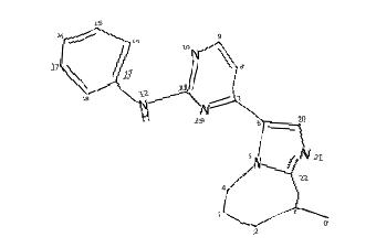 CC1CCCn2c(-c3ccnc(Nc4ccccc4)n3)cnc21